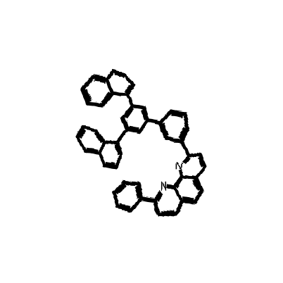 c1ccc(-c2ccc3ccc4ccc(-c5cccc(-c6cc(-c7cccc8ccccc78)cc(-c7cccc8ccccc78)c6)c5)nc4c3n2)cc1